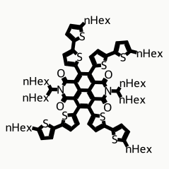 CCCCCCc1ccc(-c2ccc(-c3c(-c4ccc(-c5ccc(CCCCCC)s5)s4)c4c5c(c(-c6ccc(-c7ccc(CCCCCC)s7)s6)c(-c6ccc(-c7ccc(CCCCCC)s7)s6)c6c5c3C(=O)N(C(CCCCCC)CCCCCC)C6=O)C(=O)N(C(CCCCCC)CCCCCC)C4=O)s2)s1